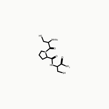 CC(=O)NC(CS)C(=O)N1CCCC1C(=O)NC(CS)C(N)=O